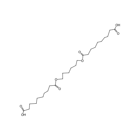 O=C(O)CCCCCCCCC(=O)OCCCCCCOC(=O)CCCCCCCCC(=O)O